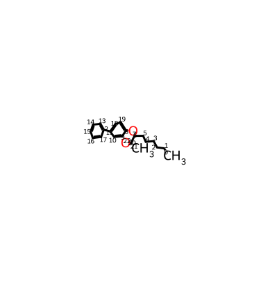 CCCCCCC(Oc1ccc(-c2ccccc2)cc1)C(C)=O